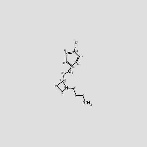 CCCCN1CC[C@@H]1COc1ccc(F)nc1